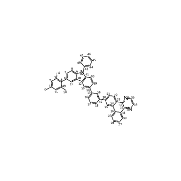 Cc1cc(C)c(-c2ccc3c(c2)c2cc(-c4cccc(-c5ccc6c(c5)c5ccccc5c5nccnc65)c4)ccc2n3-c2ccccc2)c(C)c1